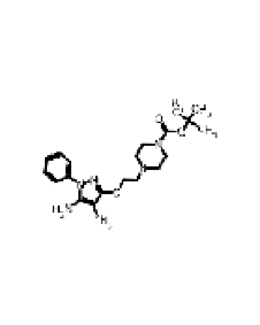 Cc1c(OCCN2CCN(C(=O)OC(C)(C)C)CC2)nn(-c2ccccc2)c1N